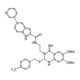 COc1cc2c(cc1OC)C(=N)N(CCNC(=O)c1cc3cc(-c4cccnc4)ccc3[nH]1)C(SCc1ccc(C(F)(F)F)cc1)N2